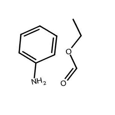 CCOC=O.Nc1ccccc1